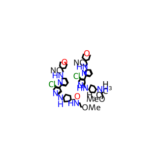 COCC(C)(C)N[C@H]1CC[C@H](Nc2cc(-c3cccc(NCC4(C#N)CCOCC4)n3)c(Cl)cn2)CC1.COCCNC(=O)[C@H]1CC[C@H](Nc2cc(-c3cccc(NCC4(C#N)CCOCC4)n3)c(Cl)cn2)CC1